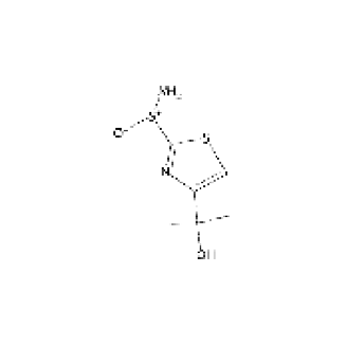 CC(C)(O)c1csc([S+](N)[O-])n1